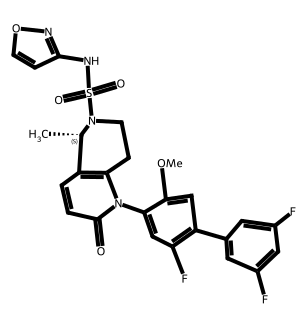 COc1cc(-c2cc(F)cc(F)c2)c(F)cc1-n1c2c(ccc1=O)[C@H](C)N(S(=O)(=O)Nc1ccon1)CC2